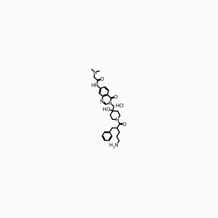 CN(C)CC(=O)Nc1ccc2c(=O)n(CC3(O)CCN(C(=O)C(CCCN)Cc4ccccc4)CC3)cnc2c1.Cl